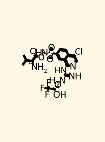 CC(C)[C@H](N)C(=O)ONS(=O)(=O)c1ccc2c(Cl)cnc(NC(=N)N)c2c1.O=C(O)C(F)(F)F